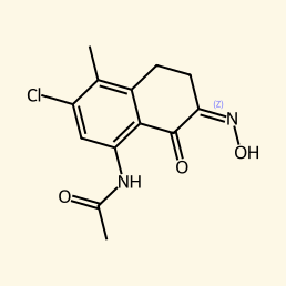 CC(=O)Nc1cc(Cl)c(C)c2c1C(=O)/C(=N\O)CC2